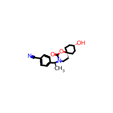 C[C@@H](c1ccc(C#N)cc1)N1CC[C@]2(CC[C@@H](O)CC2)OC1=O